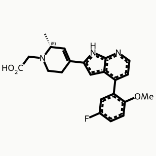 COc1ccc(F)cc1-c1ccnc2[nH]c(C3=C[C@@H](C)N(CC(=O)O)CC3)cc12